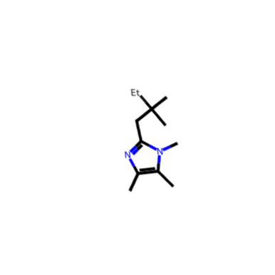 CCC(C)(C)Cc1nc(C)c(C)n1C